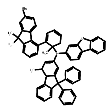 CC1C=C(N(c2ccc3c(c2)oc2ccccc23)C2(C)CC=CC=C2c2cccc3c2-c2ccc(C(C)(C)C)cc2C3(C)C)C=C2C1c1ccccc1C2(c1ccccc1)c1ccccc1